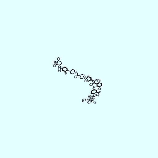 CCN(C)S(=O)(=O)Nc1ccc(F)c(Oc2ccc3ncn(-c4cnc(N5CCN(C(=O)CN6CCC(c7ccc(N[C@@H]8CCC(=O)NC8=O)cc7F)CC6)CC5)nc4)c(=O)c3c2)c1F